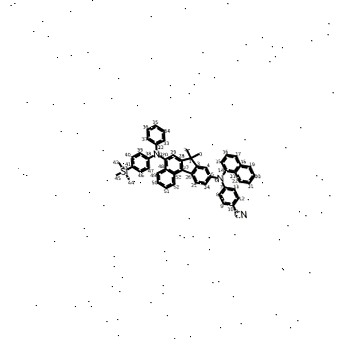 CC1(C)c2cc(N(c3ccc(C#N)cc3)c3cccc4ccccc34)ccc2-c2c1cc(N(c1ccccc1)c1ccc([Si](C)(C)C)cc1)c1ccccc21